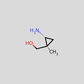 C[C@@]1(CO)C[C@H]1N